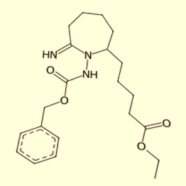 CCOC(=O)CCCCC1CCCCC(=N)N1NC(=O)OCc1ccccc1